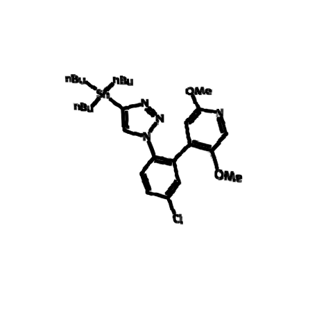 CCC[CH2][Sn]([CH2]CCC)([CH2]CCC)[c]1cn(-c2ccc(Cl)cc2-c2cc(OC)ncc2OC)nn1